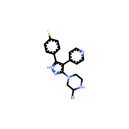 CCC1CN(c2n[nH]c(-c3ccc(F)cc3)c2-c2ccncc2)CCN1